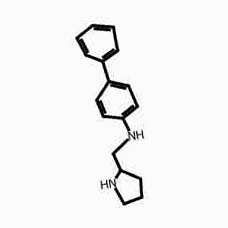 c1ccc(-c2ccc(NCC3CCCN3)cc2)cc1